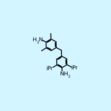 Cc1cc(Cc2cc(C(C)C)c(N)c(C(C)C)c2)cc(C)c1N